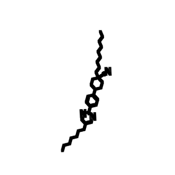 CCCCCCCCCC1(C#N)CCC(c2ccc(-c3ncc(CCCCCCC)cn3)cc2)CC1